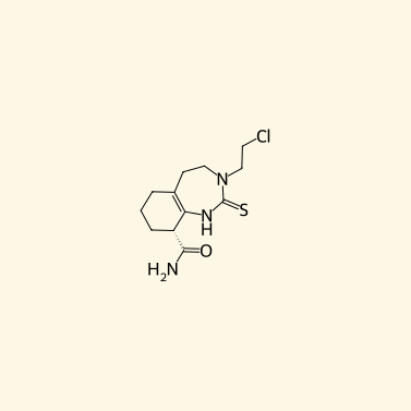 NC(=O)[C@@H]1CCCC2=C1NC(=S)N(CCCl)CC2